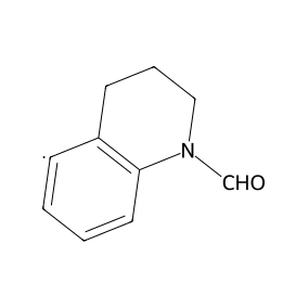 O=CN1CCCc2[c]cccc21